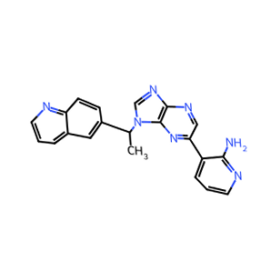 CC(c1ccc2ncccc2c1)n1cnc2ncc(-c3cccnc3N)nc21